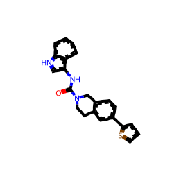 O=C(Nc1c[nH]c2ccccc12)N1CCc2cc(-c3cccs3)ccc2C1